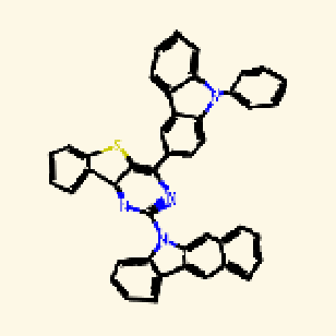 c1ccc(-n2c3ccccc3c3cc(-c4nc(-n5c6ccccc6c6cc7ccccc7cc65)nc5c4sc4ccccc45)ccc32)cc1